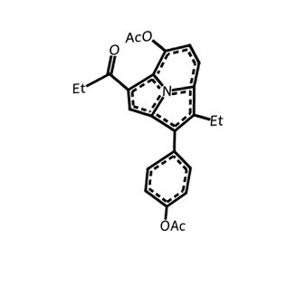 CCC(=O)c1cc2c(-c3ccc(OC(C)=O)cc3)c(CC)c3ccc(OC(C)=O)c1n32